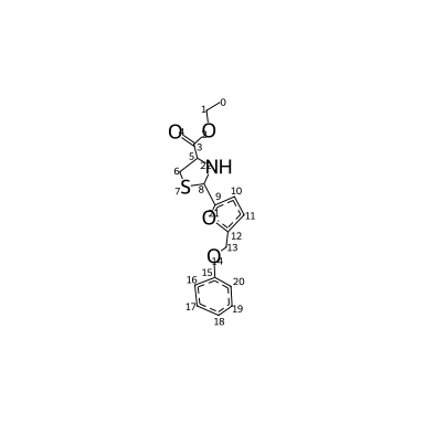 CCOC(=O)C1CSC(c2ccc(COc3ccccc3)o2)N1